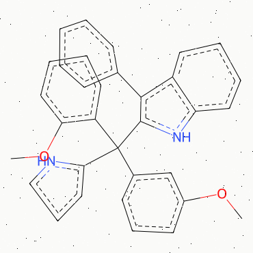 COc1cccc(C(c2ccc[nH]2)(c2ccccc2OC)c2[nH]c3ccccc3c2-c2ccccc2)c1